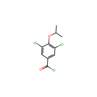 CC(C)Oc1c(Cl)cc(C(=O)Cl)cc1Cl